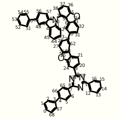 c1ccc(-c2ccc(-c3nc(-c4ccccc4)nc(-c4ccc5c(c4)oc4ccc(-c6ccc7oc8cccc(-n9c%10ccccc%10c%10cc(-c%11ccccc%11)ccc%109)c8c7c6)cc45)n3)cc2)cc1